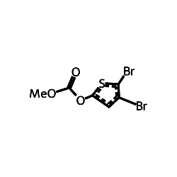 COC(=O)Oc1cc(Br)c(Br)s1